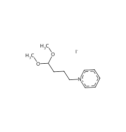 COC(CCC[n+]1ccccc1)OC.[I-]